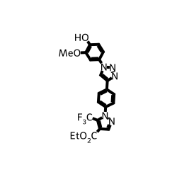 CCOC(=O)c1cnn(-c2ccc(-c3cn(-c4ccc(O)c(OC)c4)nn3)cc2)c1C(F)(F)F